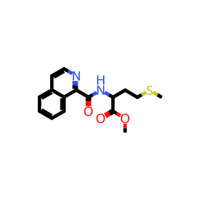 COC(=O)C(CCSC)NC(=O)c1nccc2ccccc12